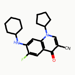 N#Cc1cn(C2CCCC2)c2cc(NC3CCCCC3)c(F)cc2c1=O